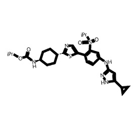 CC(C)OC(=O)N[C@H]1CC[C@H](c2ncc(-c3ccc(Nc4cc(C5CC5)[nH]n4)cc3S(=O)(=O)C(C)C)s2)CC1